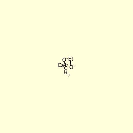 CC[O-].C[O-].[Ca+2]